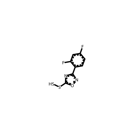 Fc1ccc(-c2noc(SS)n2)c(F)c1